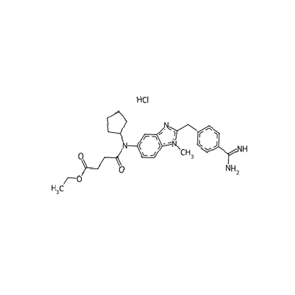 CCOC(=O)CCC(=O)N(c1ccc2c(c1)nc(Cc1ccc(C(=N)N)cc1)n2C)C1CCCC1.Cl